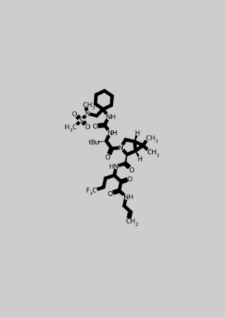 C=CCNC(=O)C(=O)C(CCC(F)(F)F)NC(=O)[C@@H]1[C@@H]2[C@H](CN1C(=O)[C@@H](NC(=O)NC1(CN(C)S(C)(=O)=O)CCCCC1)C(C)(C)C)C2(C)C